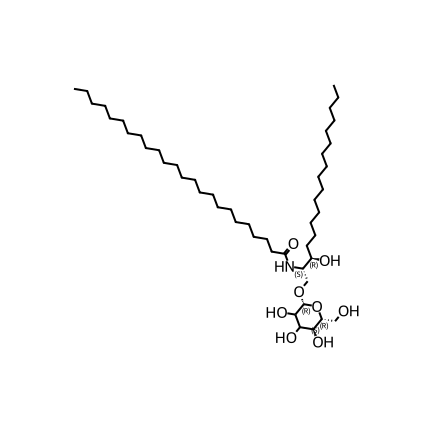 CCCCCCCCCCCCCCCCCCCCCCCC(=O)N[C@@H](CO[C@@H]1O[C@H](CO)[C@@H](O)C(O)C1O)[C@H](O)CCCCCCCCCCCCCCC